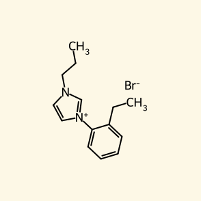 CCCn1cc[n+](-c2ccccc2CC)c1.[Br-]